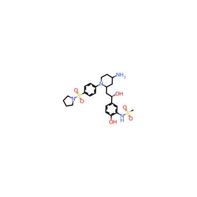 CS(=O)(=O)Nc1cc([C@H](O)CC2CC(N)CCN2c2ccc(S(=O)(=O)N3CCCC3)cc2)ccc1O